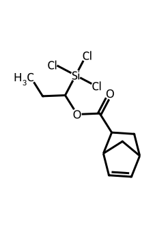 CCC(OC(=O)C1CC2C=CC1C2)[Si](Cl)(Cl)Cl